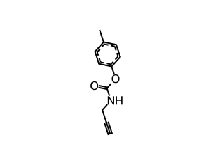 C#CCNC(=O)Oc1ccc(C)cc1